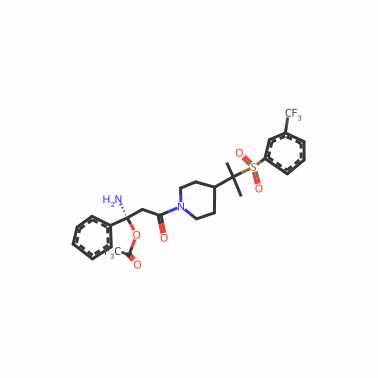 CC(C)(C1CCN(C(=O)C[C@@](N)(OC(=O)C(F)(F)F)c2ccccc2)CC1)S(=O)(=O)c1cccc(C(F)(F)F)c1